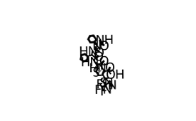 CC(SC1(C(F)(F)F)N=CN=N1)C1=C(C(=O)O)N2C(=O)C(NC(=O)C(NC(=O)n3c(=O)[nH]c4ccccc43)c3ccccc3)[C@@H]2SC1